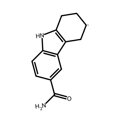 NC(=O)c1ccc2[nH]c3c(c2c1)C[C]CC3